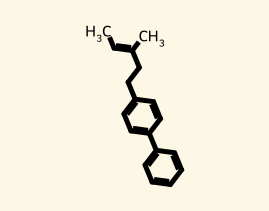 CC=C(C)CCc1ccc(-c2ccccc2)cc1